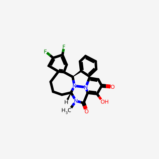 CN1C(=O)c2c(O)c(=O)ccn2N2[C@H](c3ccccc3)c3cc(F)c(F)cc3CCC[C@@H]12